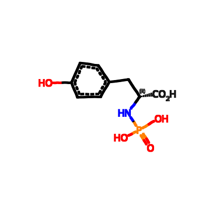 O=C(O)[C@@H](Cc1ccc(O)cc1)NP(=O)(O)O